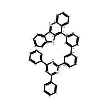 c1ccc(-c2cc(-c3ccccc3)nc(-c3cccc(-c4cccc(-c5c6ccccc6nc6c5sc5ccccc56)c4)c3)n2)cc1